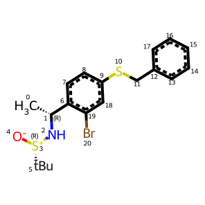 C[C@@H](N[S@@+]([O-])C(C)(C)C)c1ccc(SCc2ccccc2)cc1Br